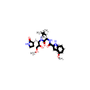 COCC(=O)[C@H](C[C@@H]1CCNC1=O)NC(=O)[C@H](CC(C)(C)C)NC(=O)c1cc2c(OC)cccc2[nH]1